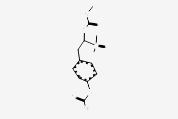 CNC(=O)NC(Cc1ccc(NC(=N)N)cc1)P(=O)(O)O